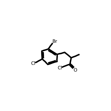 CC(Cc1ccc(Cl)cc1Br)C(=O)Cl